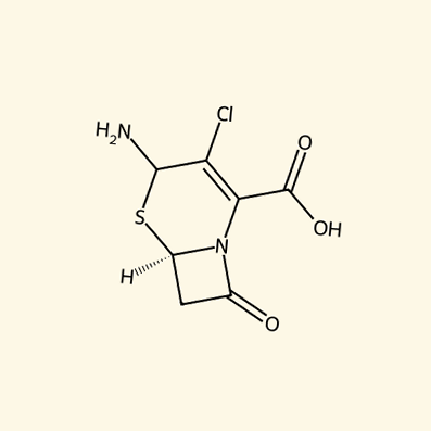 NC1S[C@@H]2CC(=O)N2C(C(=O)O)=C1Cl